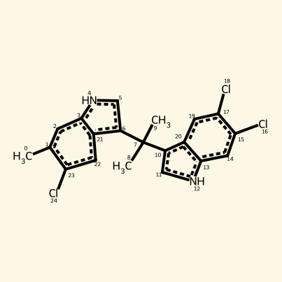 Cc1cc2[nH]cc(C(C)(C)c3c[nH]c4cc(Cl)c(Cl)cc34)c2cc1Cl